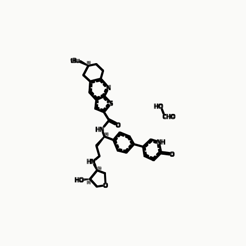 CC(C)(C)[C@H]1CCc2nc3sc(C(=O)N[C@H](CCN[C@H]4COC[C@@H]4O)c4ccc(-c5ccc(=O)[nH]c5)cc4)cc3cc2C1.O=CO